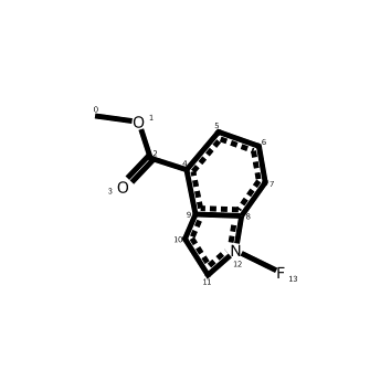 COC(=O)c1cccc2c1ccn2F